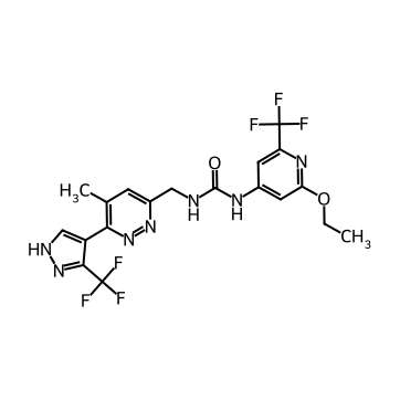 CCOc1cc(NC(=O)NCc2cc(C)c(-c3c[nH]nc3C(F)(F)F)nn2)cc(C(F)(F)F)n1